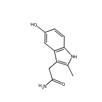 Cc1[nH]c2ccc(O)cc2c1CC(N)=O